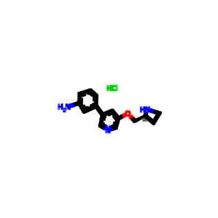 Cl.Nc1cccc(-c2cncc(OC[C@@H]3CCN3)c2)c1